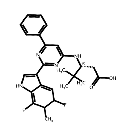 CC1C(F)=c2[nH]cc(-c3nc(N[C@H](CC(=O)O)C(C)(C)C)cc(-c4ccccc4)n3)c2=CC1F